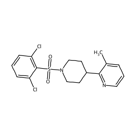 Cc1cccnc1C1CCN(S(=O)(=O)c2c(Cl)cccc2Cl)CC1